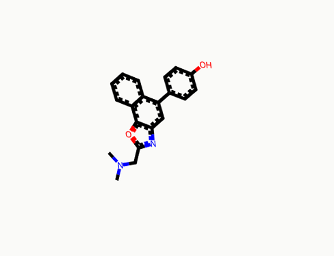 CN(C)Cc1nc2cc(-c3ccc(O)cc3)c3ccccc3c2o1